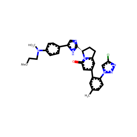 COCCN(C(=O)O)c1ccc(-c2cnc([C@@H]3CCc4cc(-c5cc(C)ccc5-n5cc(Cl)nn5)cc(=O)n43)[nH]2)cc1